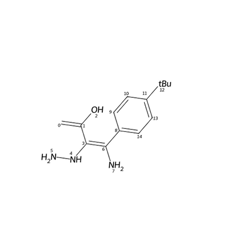 C=C(O)/C(NN)=C(/N)c1ccc(C(C)(C)C)cc1